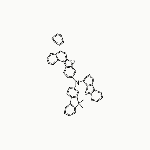 CC1(C)c2ccccc2-c2ccc(N(c3ccc4c(c3)oc3cc(-c5ccccc5)c5ccccc5c34)c3cccc4c3sc3ccccc34)cc21